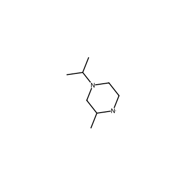 CC1CN(C(C)C)CC[N]1